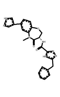 CN1C(=O)[C@@H](NC(=O)c2nnc(Cc3ccccc3)[nH]2)COc2ccc(-c3cn[nH]c3)cc21